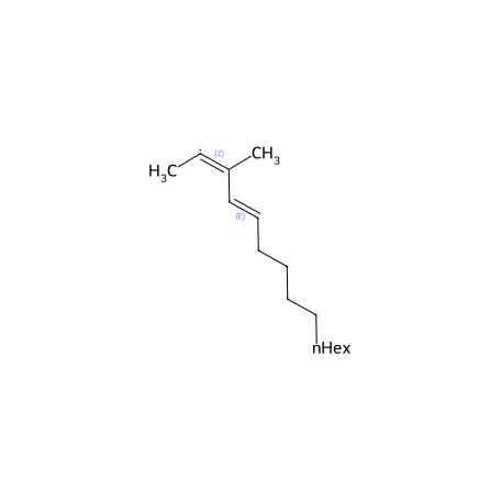 C/[C]=C(C)\C=C\CCCCCCCCCC